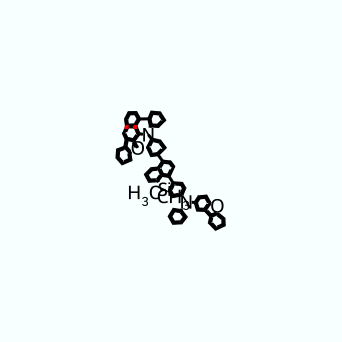 C[Si]1(C)c2cc(N(c3ccccc3)c3ccc4oc5ccccc5c4c3)ccc2-c2ccc(-c3ccc(N(c4ccccc4-c4ccccc4)c4cccc5c4oc4ccccc45)cc3)c3cccc1c23